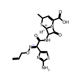 C=CCO/N=C(/C(=O)NC1C(=O)N2C(C(=O)O)=CC(C)S[C@H]12)c1csc(N)n1